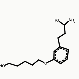 NC(O)CCc1cccc(OCCCCCO)c1